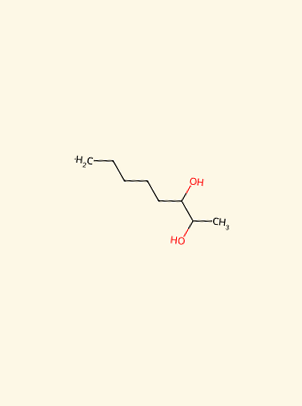 [CH2]CCCCC(O)C(C)O